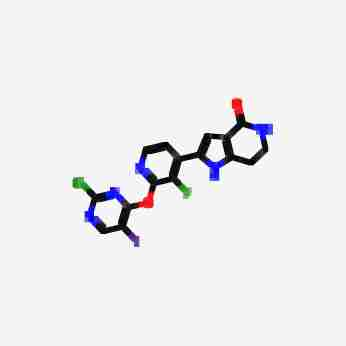 O=C1NCCc2[nH]c(-c3ccnc(Oc4nc(Cl)ncc4I)c3F)cc21